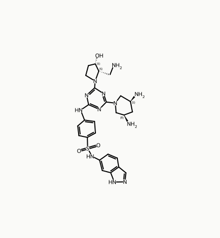 NC[C@H]1[C@@H](O)CCN1c1nc(Nc2ccc(S(=O)(=O)Nc3ccc4cn[nH]c4c3)cc2)nc(N2C[C@H](N)C[C@H](N)C2)n1